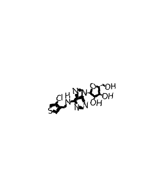 OC[C@H]1O[C@@H](n2cnc3c(NCc4cscc4Cl)ncnc32)[C@H](O)[C@@H]1O